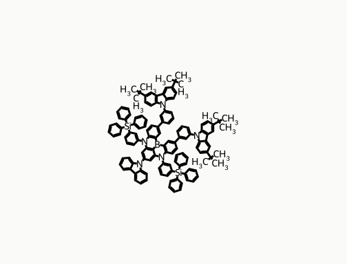 CC(C)(C)c1ccc2c(c1)c1cc(C(C)(C)C)ccc1n2-c1cccc(-c2ccc3c(c2)B2c4cc(-c5cccc(-n6c7ccc(C(C)(C)C)cc7c7cc(C(C)(C)C)ccc76)c5)ccc4N(c4cccc([Si](c5ccccc5)(c5ccccc5)c5ccccc5)c4)c4cc(-n5c6ccccc6c6ccccc65)cc(c42)N3c2cccc([Si](c3ccccc3)(c3ccccc3)c3ccccc3)c2)c1